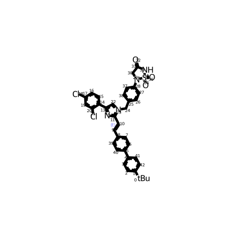 CC(C)(C)c1ccc(-c2ccc(/C=C/c3nc(-c4ccc(Cl)cc4Cl)cn3Cc3ccc(N4CC(=O)NS4(=O)=O)cc3)cc2)cc1